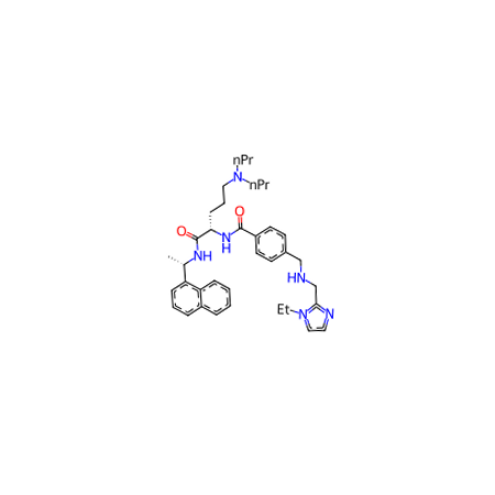 CCCN(CCC)CCC[C@H](NC(=O)c1ccc(CNCc2nccn2CC)cc1)C(=O)N[C@@H](C)c1cccc2ccccc12